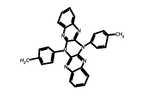 Cc1ccc(N2c3nc4ccccc4nc3N(c3ccc(C)cc3)c3nc4ccccc4nc32)cc1